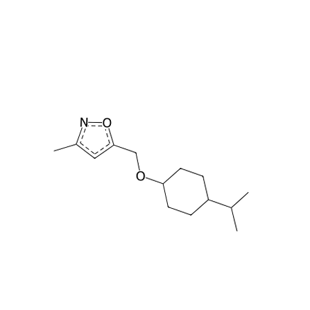 Cc1cc(COC2CCC(C(C)C)CC2)on1